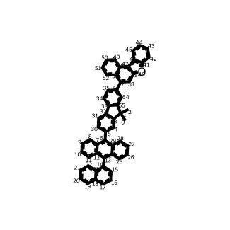 CC1(C)c2cc(-c3c4ccccc4c(-c4cccc5ccccc45)c4ccccc34)ccc2-c2ccc(-c3cc4oc5ccccc5c4c4ccccc34)cc21